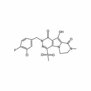 CN1CCn2c(c(O)c3c(=O)n(Cc4ccc(F)c(Cl)c4)nc(S(C)(=O)=O)c32)C1=O